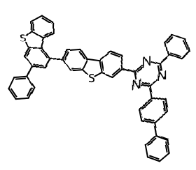 c1ccc(-c2ccc(-c3nc(-c4ccccc4)nc(-c4ccc5c(c4)sc4cc(-c6cc(-c7ccccc7)cc7sc8ccccc8c67)ccc45)n3)cc2)cc1